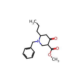 CCCC1CC(=O)C(C(=O)OC)CN1Cc1ccccc1